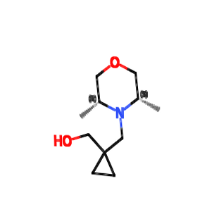 C[C@@H]1COC[C@H](C)N1CC1(CO)CC1